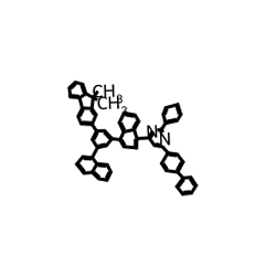 CC1(C)c2ccccc2-c2ccc(-c3cc(-c4cccc5ccccc45)cc(-c4ccc(-c5cc(-c6ccc(-c7ccccc7)cc6)nc(-c6ccccc6)n5)c5ccccc45)c3)cc21